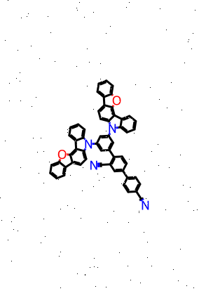 N#Cc1ccc(-c2ccc(-c3cc(-n4c5ccccc5c5c6oc7ccccc7c6ccc54)cc(-n4c5ccccc5c5c6oc7ccccc7c6ccc54)c3)c(C#N)c2)cc1